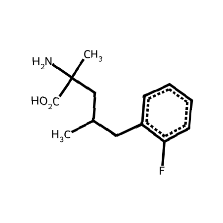 CC(Cc1ccccc1F)CC(C)(N)C(=O)O